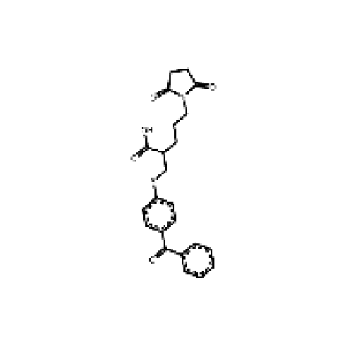 O=C(c1ccccc1)c1ccc(SCC(CCCN2C(=O)CCC2=O)C(=O)O)cc1